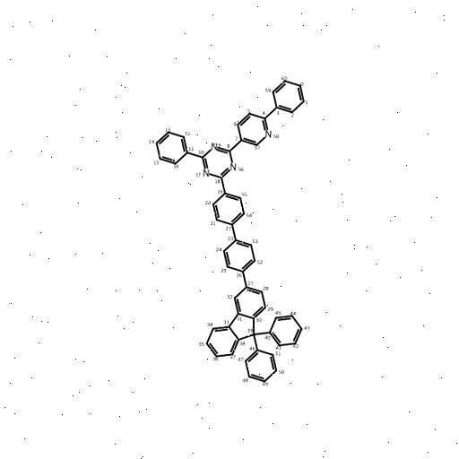 c1ccc(-c2ccc(-c3nc(-c4ccccc4)nc(-c4ccc(-c5ccc(-c6ccc7c(c6)-c6ccccc6C7(c6ccccc6)c6ccccc6)cc5)cc4)n3)cn2)cc1